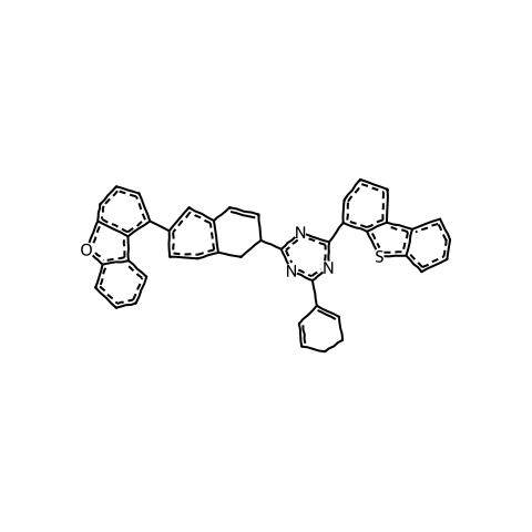 C1=CC(c2nc(-c3cccc4c3sc3ccccc34)nc(C3C=Cc4cc(-c5cccc6oc7ccccc7c56)ccc4C3)n2)=CCC1